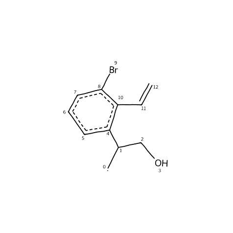 [CH2]C(CO)c1cccc(Br)c1C=C